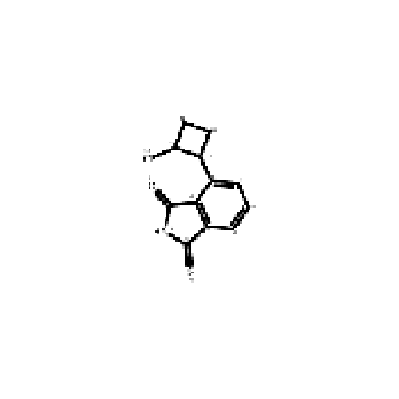 O=C1NC(=S)c2cccc(C3CCC3Cl)c21